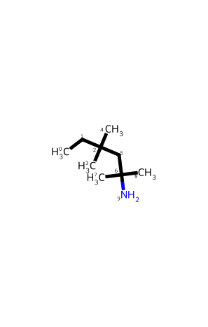 CCC(C)(C)CC(C)(C)N